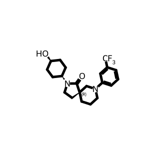 O=C1N([C@H]2CC[C@H](O)CC2)CC[C@@]12CCCN(c1cccc(C(F)(F)F)c1)C2